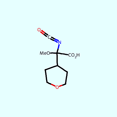 COC(N=C=O)(C(=O)O)C1CCOCC1